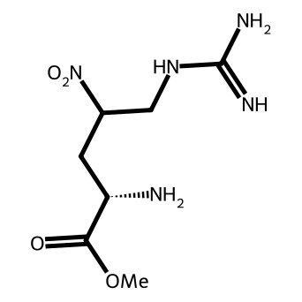 COC(=O)[C@@H](N)CC(CNC(=N)N)[N+](=O)[O-]